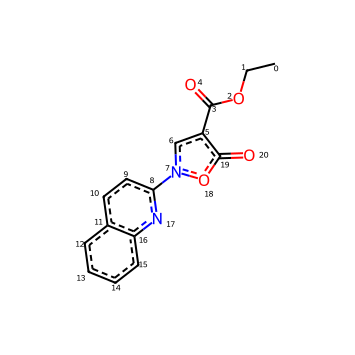 CCOC(=O)c1cn(-c2ccc3ccccc3n2)oc1=O